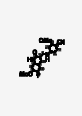 COc1cc2[nH]c(=O)c(CNc3ccc(C#N)c(OC)c3)cc2cc1F